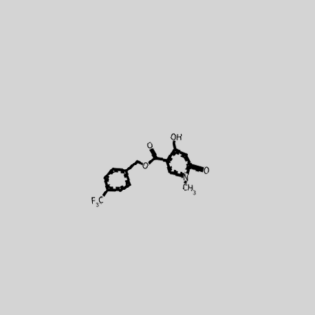 Cn1cc(C(=O)OCc2ccc(C(F)(F)F)cc2)c(O)cc1=O